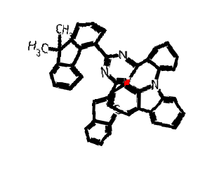 CC1(C)c2ccccc2-c2c(-c3nc(-c4cc5ccccc5s4)nc(-c4ccccc4-n4c5ccccc5c5ccccc54)n3)cccc21